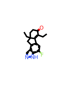 CCC1=C2c3cc(F)c4[nH]ncc4c3CC2(CC)CCC1=O